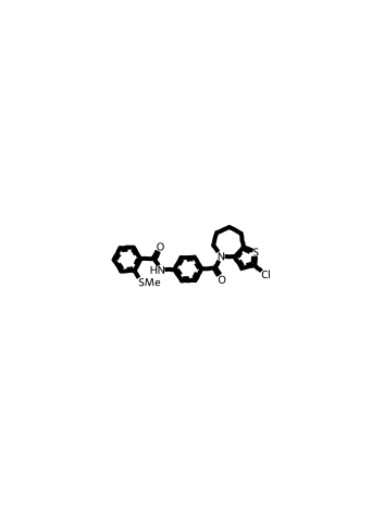 CSc1ccccc1C(=O)Nc1ccc(C(=O)N2CCCCc3sc(Cl)cc32)cc1